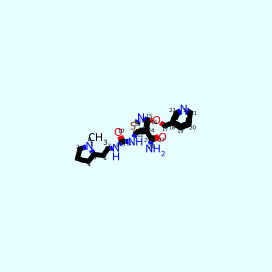 CN1CCCC1CCNC(=O)Nc1snc(OCc2cccnc2)c1C(N)=O